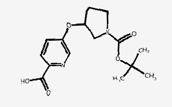 CC(C)(C)OC(=O)N1CCC(Oc2ccc(C(=O)O)nc2)C1